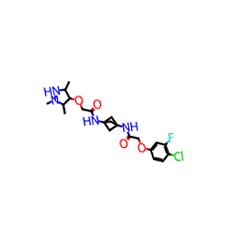 CC1NN(C)C(C)C1OCC(=O)NC12CC(NC(=O)COc3ccc(Cl)c(F)c3)(C1)C2